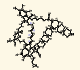 CCCCC(C(=O)N1CC[N+]2(CC1)CC[N+]1(CCNCC1)CC2)C1(C)/C(=C/C=C/C=C/C=C/C2=[N+](CCCS(=O)(=O)O)c3cc(I)c(I)c(I)c3C2(C)CCCCCC(=O)N2CC[N+]3(CC2)CC[N+]2(CCNCC2)CC3)N(CCCS(=O)(=O)O)c2cc(I)c(I)c(I)c21